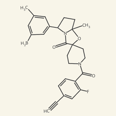 Bc1cc(C)cc(C2CCC3(C)OC4(CCN(C(=O)c5ccc(C#C)cc5F)CC4)C(=O)N23)c1